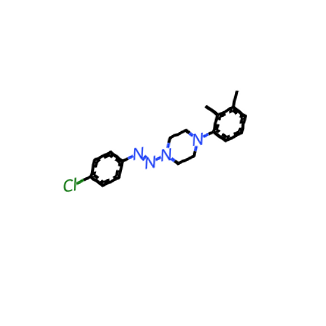 Cc1cccc(N2CCN(N=Nc3ccc(Cl)cc3)CC2)c1C